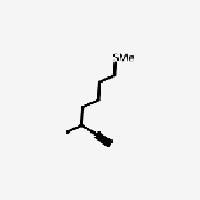 C#CC(C)CCCCSC